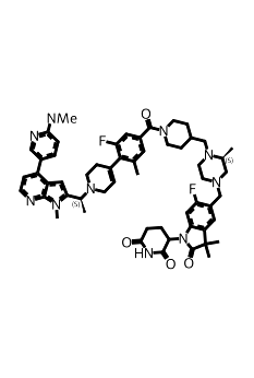 CNc1ccc(-c2ccnc3c2cc([C@H](C)N2CC=C(c4c(C)cc(C(=O)N5CCC(CN6CCN(Cc7cc8c(cc7F)N(C7CCC(=O)NC7=O)C(=O)C8(C)C)C[C@@H]6C)CC5)cc4F)CC2)n3C)cn1